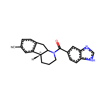 N#Cc1ccc2c(c1)[C@H]1CCCN(C(=O)c3ccc4[nH]cnc4c3)C1C2